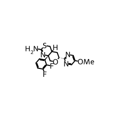 COc1cnc([C@H]2C[C@H]3CSC(N)=N[C@@]3(c3cccc(F)c3F)CO2)nc1